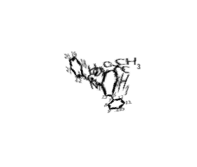 CC(C)(C)c1cc(-c2ccccc2)cc2n[13c](-c3ccccc3)oc12